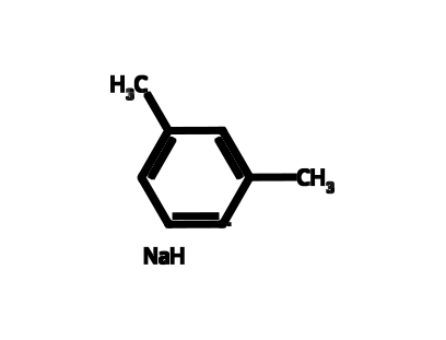 Cc1[c]ccc(C)c1.[NaH]